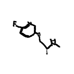 CN[C@H](C)COc1ccc(F)nc1